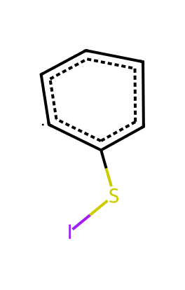 ISc1[c]cccc1